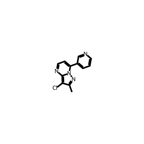 Cc1nn2c(-c3cccnc3)ccnc2c1Cl